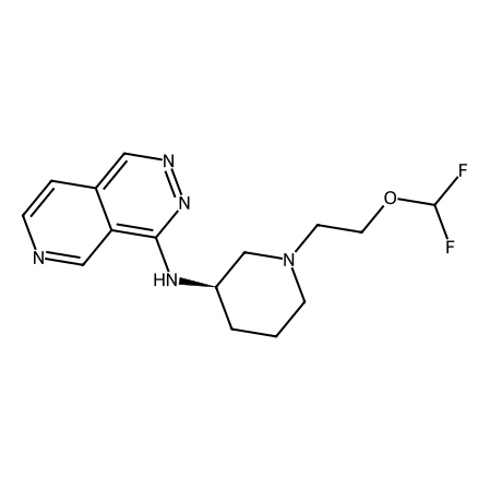 FC(F)OCCN1CCC[C@@H](Nc2nncc3ccncc23)C1